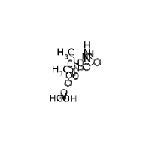 CCCCC(=O)N(Cc1ccc(-c2ccccc2-c2nn[nH]n2)cc1)[C@H](C(=O)Oc1ccc(CON(O)O)cc1)C(C)C